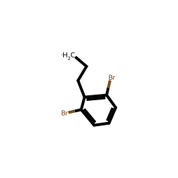 [CH2]CCc1c(Br)cccc1Br